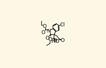 CCOC(=O)N1C(=O)C(CC(=O)O)(C(=O)OCC)c2cc(Cl)ccc21